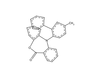 Cc1ccc(N2c3ccccc3OC(=O)c3ccccc32)c(-c2ccccc2)c1